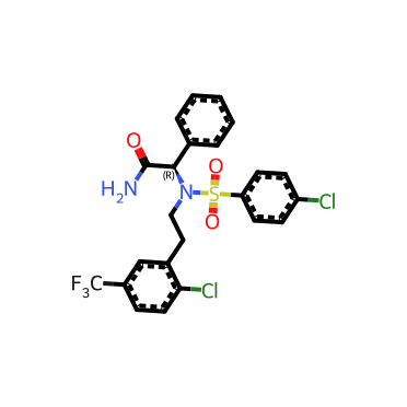 NC(=O)[C@@H](c1ccccc1)N(CCc1cc(C(F)(F)F)ccc1Cl)S(=O)(=O)c1ccc(Cl)cc1